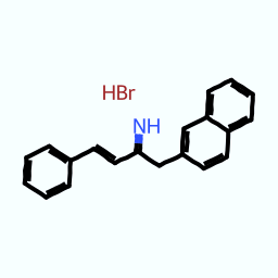 Br.N=C(/C=C/c1ccccc1)Cc1ccc2ccccc2c1